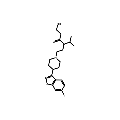 CC(C)N(CCN1CCC(c2noc3cc(F)ccc23)CC1)C(=O)CCO